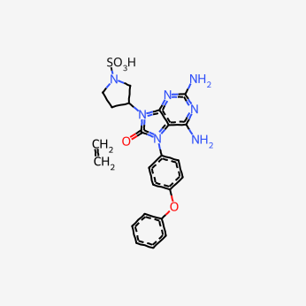 C=C.Nc1nc(N)c2c(n1)n(C1CCN(S(=O)(=O)O)C1)c(=O)n2-c1ccc(Oc2ccccc2)cc1